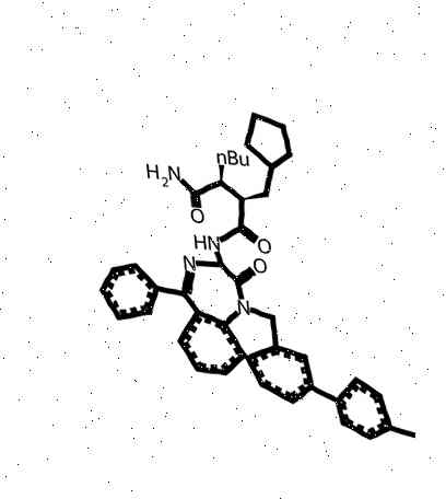 CCCC[C@H](C(N)=O)[C@@H](CC1CCCC1)C(=O)NC1N=C(c2ccccc2)c2ccccc2N(Cc2cccc(-c3ccc(C)cc3)c2)C1=O